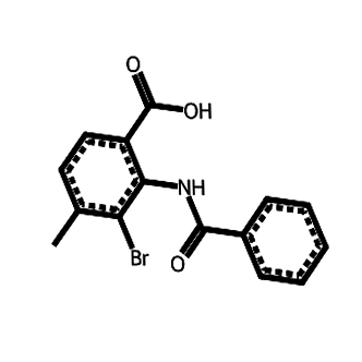 Cc1ccc(C(=O)O)c(NC(=O)c2ccccc2)c1Br